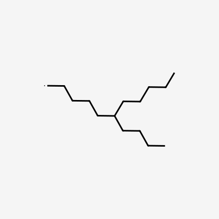 [CH2]CCCCC(CCCC)CCCCC